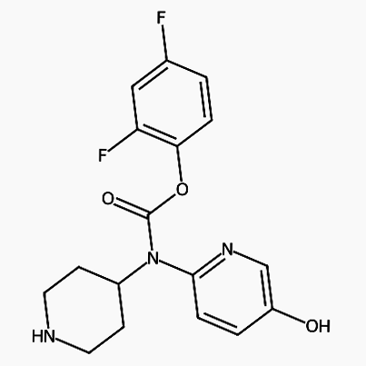 O=C(Oc1ccc(F)cc1F)N(c1ccc(O)cn1)C1CCNCC1